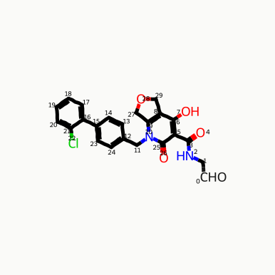 O=CCNC(=O)c1c(O)c2c(n(Cc3ccc(-c4ccccc4Cl)cc3)c1=O)COC2